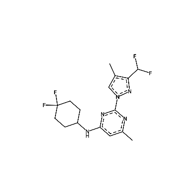 Cc1cc(NC2CCC(F)(F)CC2)nc(-n2cc(C)c(C(F)F)n2)n1